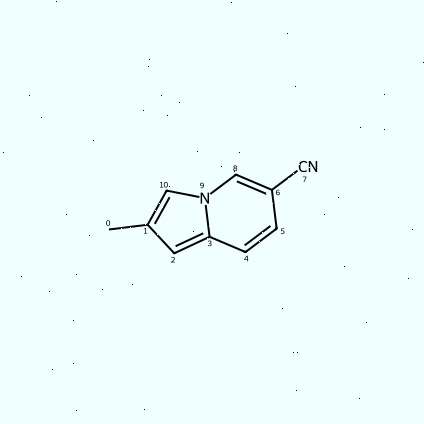 Cc1cc2ccc(C#N)cn2c1